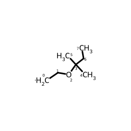 [CH2]COC(C)(C)CC